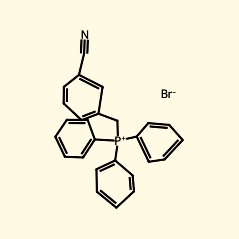 N#Cc1cccc(C[P+](c2ccccc2)(c2ccccc2)c2ccccc2)c1.[Br-]